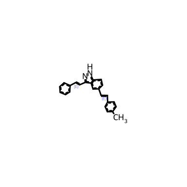 Cc1ccc(/C=C/c2ccc3[nH]nc(/C=C/c4ccccc4)c3c2)cc1